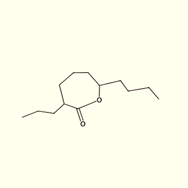 CCCCC1CCCC(CCC)C(=O)O1